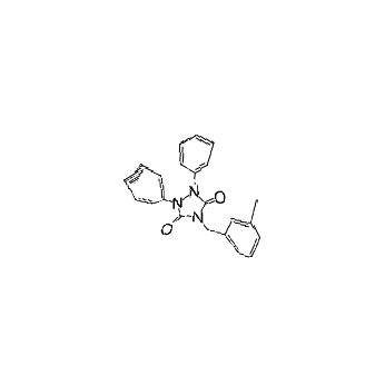 Cc1cccc(Cn2c(=O)n(-c3ccccc3)n(-c3ccccc3)c2=O)c1